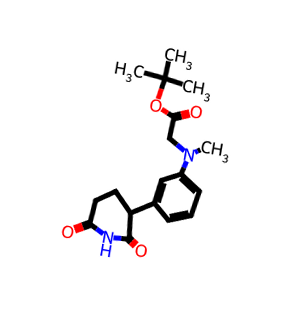 CN(CC(=O)OC(C)(C)C)c1cccc(C2CCC(=O)NC2=O)c1